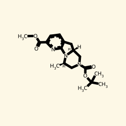 COC(=O)c1ccc2c(n1)N1[C@H](C2)CN(C(=O)OC(C)(C)C)C[C@H]1C